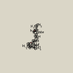 CO[C@@H]1C(OC(=O)N[C@H]2CC[C@H](NC(=O)O[C@@H]3CC[C@]4(CO4)C([C@@]4(C)O[C@@H]4CC=C(C)C)[C@@H]3OC)CC2)CC[C@]2(CO2)[C@H]1[C@@]1(C)CC[C@@H]1CC=C(C)C